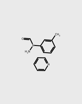 Cc1cccc(N(N)C=O)c1.c1ccncc1